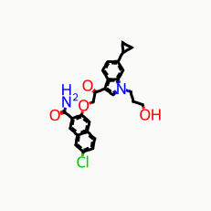 NC(=O)c1cc2cc(Cl)ccc2cc1OCC(=O)c1cn(CCCO)c2cc(C3CC3)ccc12